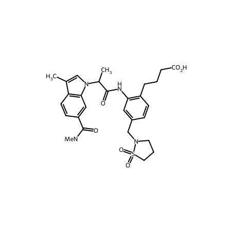 CNC(=O)c1ccc2c(C)cn(C(C)C(=O)Nc3cc(CN4CCCS4(=O)=O)ccc3CCCC(=O)O)c2c1